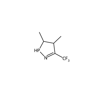 CC1PN=C(C(F)(F)F)C1C